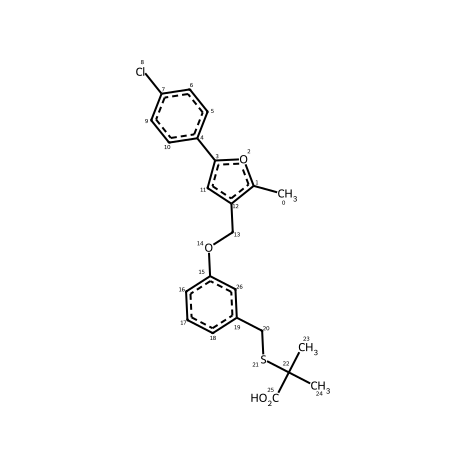 Cc1oc(-c2ccc(Cl)cc2)cc1COc1cccc(CSC(C)(C)C(=O)O)c1